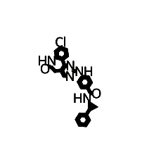 O=C1Cc2cnc(Nc3ccc(C(=O)N[C@H]4CC4c4ccccc4)cc3)nc2-c2ccc(Cl)cc2N1